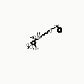 CC(=O)Oc1ccc([C@@H](O)CNCCCCCCOCCO[C@H](C)c2ccccc2)cc1CO